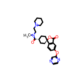 CN(CCN1CCCCC1)C(=O)[C@H]1CC[C@@]2(CC1)OC(=O)c1cc(Oc3cnccn3)ccc12